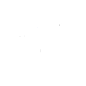 C=C(C)C(=C/C(C)C)/C(C)=C\CC1CC1